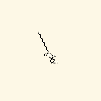 CCCCCCCCCCCC(=O)OCC1(OC)CCNC1